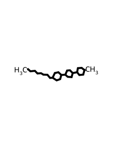 CCCCCCCCCC1CCC(C2CCC(C3CCC(C)CC3)CC2)CC1